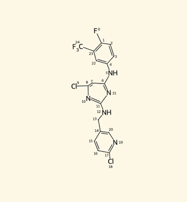 Fc1ccc(Nc2cc(Cl)nc(NCc3ccc(Cl)nc3)n2)cc1C(F)(F)F